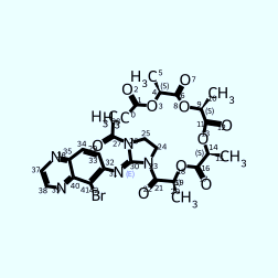 CC(=O)O[C@@H](C)C(=O)O[C@@H](C)C(=O)O[C@@H](C)C(=O)O[C@@H](C)C(=O)N1CCN(C(C)=O)/C1=N\c1ccc2nccnc2c1Br